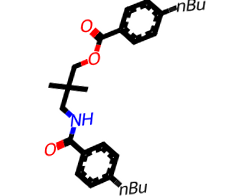 CCCCc1ccc(C(=O)NCC(C)(C)COC(=O)c2ccc(CCCC)cc2)cc1